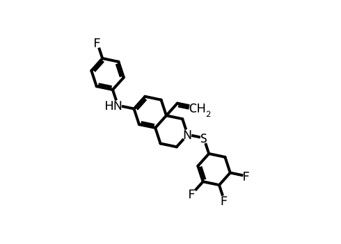 C=CC12CC=C(Nc3ccc(F)cc3)C=C1CCN(SC1C=C(F)C(F)C(F)C1)C2